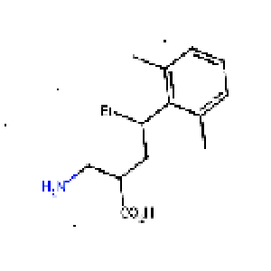 CCC(CC(CN)C(=O)O)c1c(C)cccc1C